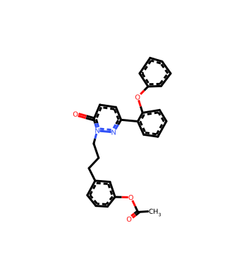 CC(=O)Oc1cccc(CCCn2nc(-c3ccccc3Oc3ccccc3)ccc2=O)c1